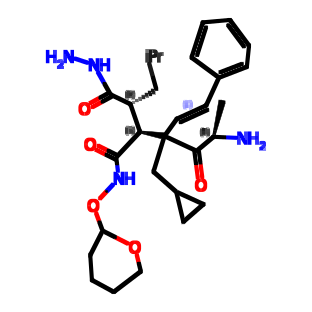 CC(C)C[C@@H](C(=O)NN)[C@H](C(=O)NOC1CCCCO1)C(/C=C/c1ccccc1)(CC1CC1)C(=O)[C@@H](C)N